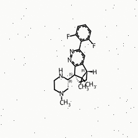 CN1CCN[C@H]([C@@]23CC[C@@H](c4cc(-c5c(F)cccc5F)nnc42)C3(C)C)C1